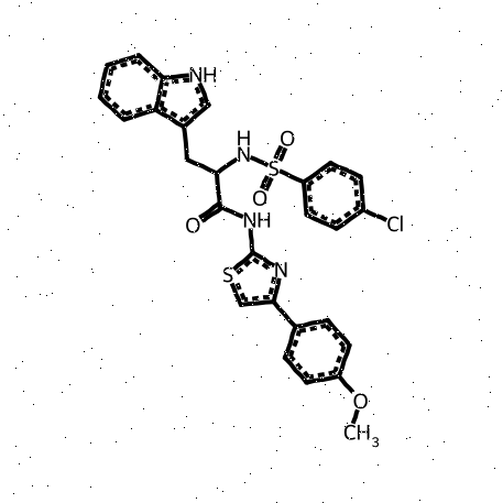 COc1ccc(-c2csc(NC(=O)C(Cc3c[nH]c4ccccc34)NS(=O)(=O)c3ccc(Cl)cc3)n2)cc1